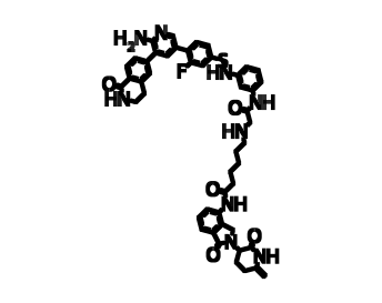 C=C1CCC(N2Cc3c(NC(=O)CCCCCNCC(=O)Nc4cccc(NSc5ccc(-c6cnc(N)c(-c7ccc8c(c7)CCNC8=O)c6)c(F)c5)c4)cccc3C2=O)C(=O)N1